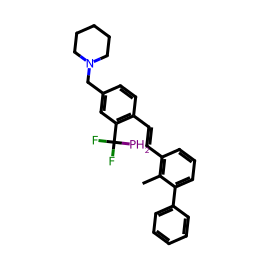 Cc1c(/C=C/c2ccc(CN3CCCCC3)cc2C(F)(F)P)cccc1-c1ccccc1